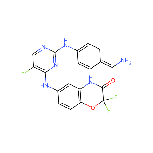 NC=C1C=CC(Nc2ncc(F)c(Nc3ccc4c(c3)NC(=O)C(F)(F)O4)n2)=CC1